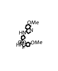 COc1ccc([C@@H](C)NS(=O)(=O)c2ccc(Nc3ccnc4cc(OC)ccc34)cc2)cc1